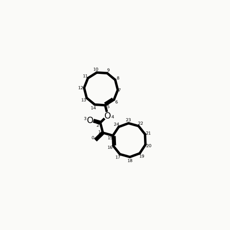 C=C(C(=O)OC1=CCCCCCCCC1)C1=CCCCCCCCC1